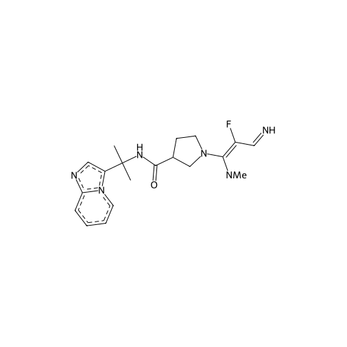 CN/C(=C(/F)C=N)N1CCC(C(=O)NC(C)(C)c2cnc3ccccn23)C1